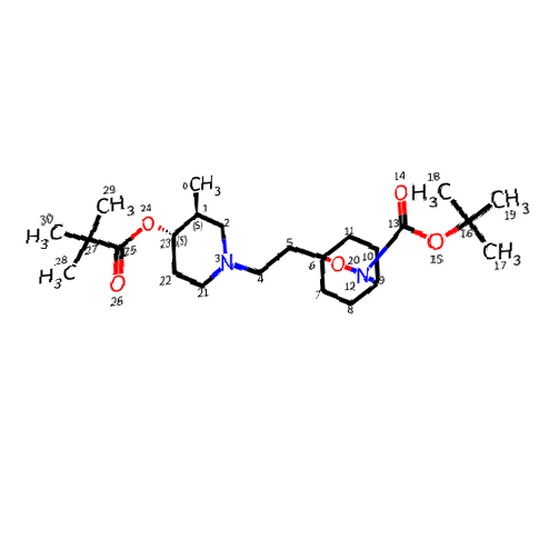 C[C@H]1CN(CCC23CCC(CC2)N(C(=O)OC(C)(C)C)O3)CC[C@@H]1OC(=O)C(C)(C)C